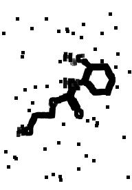 C[C@H]1CCCC[C@@H]1NC(=O)OCCO